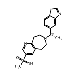 C[C@@H](c1ccc2scnc2c1)N1CCc2cc(S(C)(=N)=O)cnc2CC1